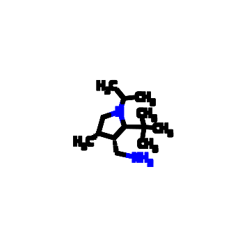 CC(C)N1C[C@@H](C)[C@@H](CN)C1C(C)(C)C